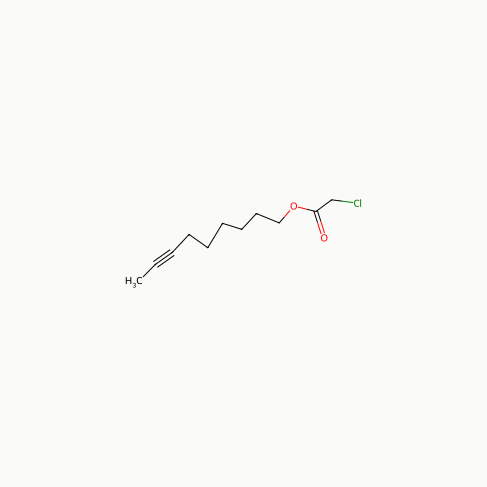 CC#CCCCCCCOC(=O)CCl